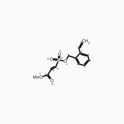 C=Cc1ccccc1COS(=O)(=O)C=CC(=O)OC